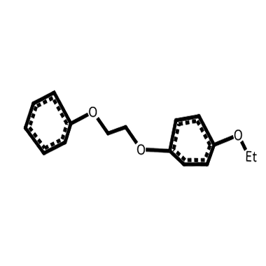 CCOc1ccc(OCCOc2ccccc2)cc1